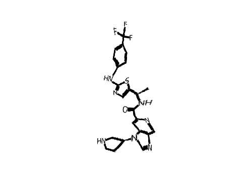 C[C@@H](NC(=O)c1cc2c(cn1)ncn2[C@H]1CCNC1)c1cnc(Nc2ccc(C(F)(F)F)cc2)s1